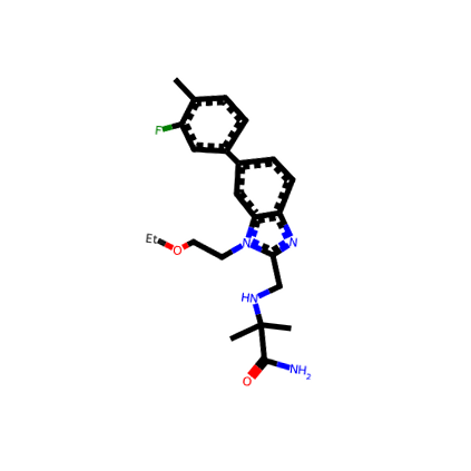 CCOCCn1c(CNC(C)(C)C(N)=O)nc2ccc(-c3ccc(C)c(F)c3)cc21